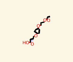 C=CC(=O)OCCCOc1ccc(OC/C=C/C(=O)O)cc1